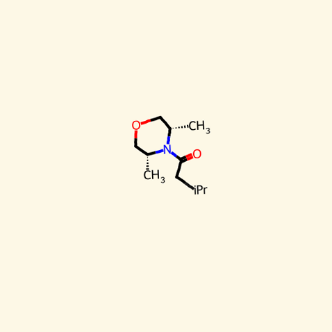 CC(C)CC(=O)N1[C@H](C)COC[C@@H]1C